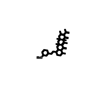 C=C(C)C1=C(C)CC2(C)CC3(C)CC4C(CCC5CCCC(OC)C5)CCC(C)C4C(=C)C3=C(C)C2(C)C1=C